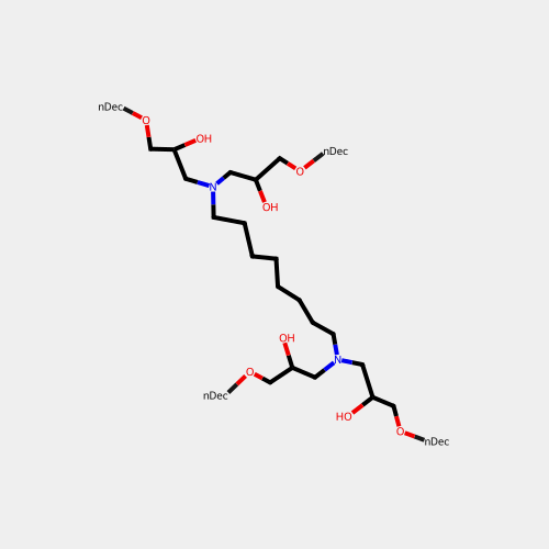 CCCCCCCCCCOCC(O)CN(CCCCCCCCN(CC(O)COCCCCCCCCCC)CC(O)COCCCCCCCCCC)CC(O)COCCCCCCCCCC